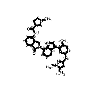 Cc1cnc(Nc2cc(C)n(C)n2)nc1-c1c[nH]c2c(N3Cc4c(NC(=O)C5CCN(C)C5)cccc4C3=O)cccc12